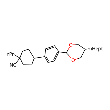 CCCCCCCC1COC(c2ccc(C3CCC(C#N)(CCC)CC3)cc2)OC1